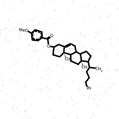 COc1ccc(C(=O)OC2CC[C@@]3(C)C(=CCC4C5CCC(C(C)CCCC(C)C)[C@@]5(C)CCC43)C2)cc1